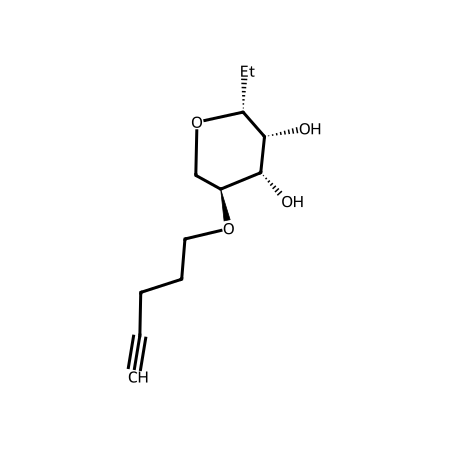 C#CCCCO[C@H]1CO[C@H](CC)[C@H](O)[C@@H]1O